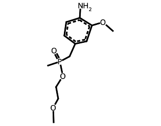 COCCOP(C)(=O)Cc1ccc(N)c(OC)c1